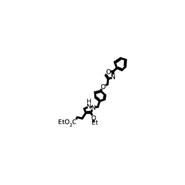 CCOC(=O)CCC1=C(OCC)N(Cc2ccc(OCc3coc(-c4ccccc4)n3)cc2)NC1